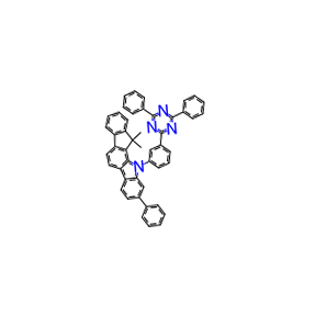 CC1(C)c2ccccc2-c2ccc3c4ccc(-c5ccccc5)cc4n(-c4cccc(-c5nc(-c6ccccc6)nc(-c6ccccc6)n5)c4)c3c21